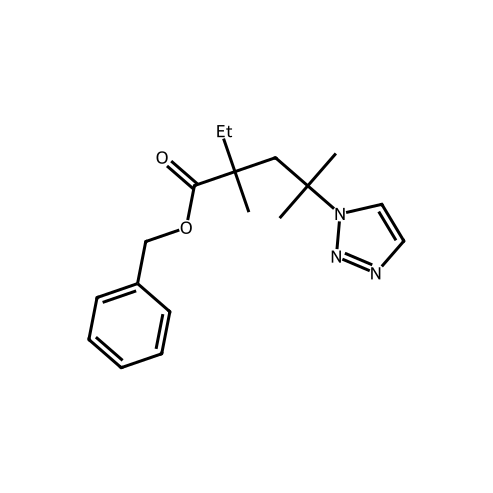 CCC(C)(CC(C)(C)n1ccnn1)C(=O)OCc1ccccc1